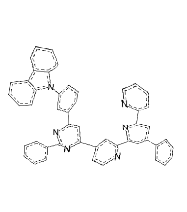 c1ccc(-c2cc(-c3ccccn3)nc(-c3cc(-c4cc(-c5cccc(-n6c7ccccc7c7ccccc76)c5)nc(-c5ccccc5)n4)ccn3)c2)cc1